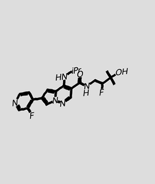 CC(C)Nc1c(C(=O)NCC(F)C(C)(C)O)cnn2cc(-c3ccncc3F)cc12